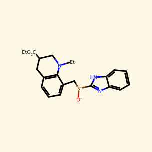 CCOC(=O)C1Cc2cccc(C[S+]([O-])c3nc4ccccc4[nH]3)c2N(CC)C1